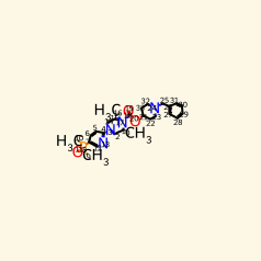 C[C@@H]1CN(c2ccc(P(C)(C)=O)cn2)C[C@H](C)N1C(=O)OC1CCN(Cc2ccccc2)CC1